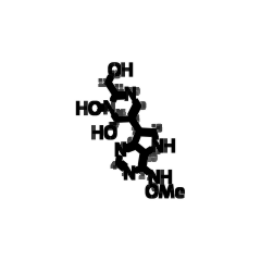 CONc1ncnc2c(C3=CN=C(CO)N(O)[C@H]3O)c[nH]c12